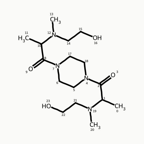 CC(C(=O)N1CCN(C(=O)C(C)N(C)CCO)CC1)N(C)CCO